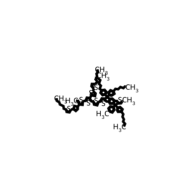 CCCCCCc1ccc(C2(c3ccc(C)cc3)c3cc4c(cc3-c3sc(C)cc32)C(c2ccc(CCCCCC)cc2)(c2ccc(CCCCCC)cc2)c2cc(-c3ccc(-c5sc(-c6cc(C7=CC=C(c8ccc(CCCCCC)s8)C7)c(C)s6)cc5-c5ccc(-c6ccc(CCCCCC)s6)s5)s3)sc2-4)cc1